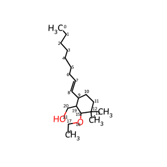 CCCCCCCC=CC1CCC(C)(C)C(OCC)C1CO